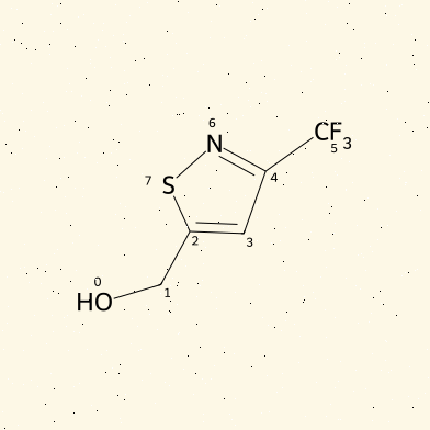 OCc1cc(C(F)(F)F)ns1